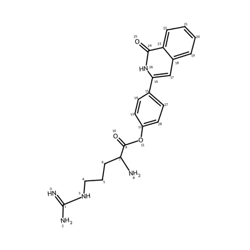 N=C(N)NCCCC(N)C(=O)Oc1ccc(-c2cc3ccccc3c(=O)[nH]2)cc1